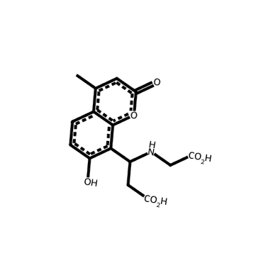 Cc1cc(=O)oc2c(C(CC(=O)O)NCC(=O)O)c(O)ccc12